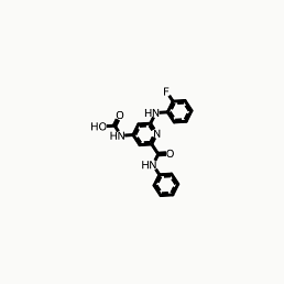 O=C(O)Nc1cc(Nc2ccccc2F)nc(C(=O)Nc2ccccc2)c1